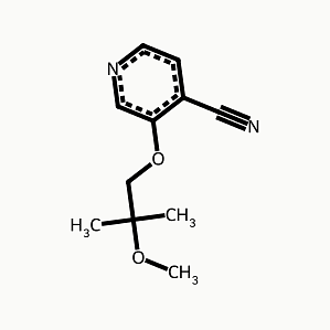 COC(C)(C)COc1cnccc1C#N